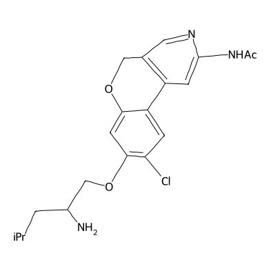 CC(=O)Nc1cc2c(cn1)COc1cc(OCC(N)CC(C)C)c(Cl)cc1-2